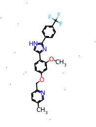 COc1cc(OCc2ccc(C)cn2)ccc1-c1c[nH]c(-c2ccc(C(F)(F)F)cc2)n1